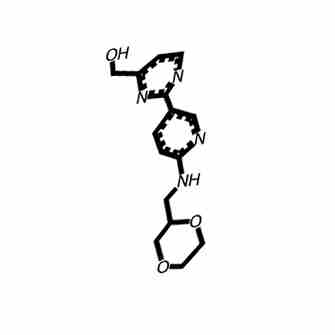 OCc1ccnc(-c2ccc(NCC3COCCO3)nc2)n1